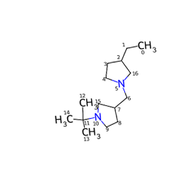 CCC1CCN(CC2CCN(C(C)(C)C)C2)C1